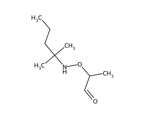 CCCC(C)(C)NOC(C)C=O